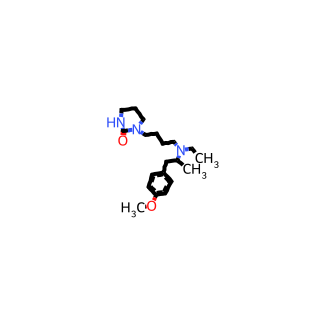 CCN(CCCCN1CCCNC1=O)C(C)Cc1ccc(OC)cc1